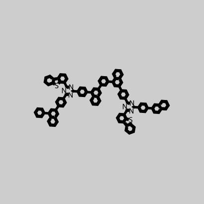 c1ccc(-c2cc(-c3ccc(-c4nc(-c5ccc(-c6cc(-c7cccc(-c8cc(-c9ccc(-c%10nc(-c%11ccc(-c%12ccc%13ccccc%13c%12)cc%11)nc(-c%11cccc%12c%11sc%11ccccc%11%12)n%10)cc9)cc9ccccc89)c7)cc7ccccc67)cc5)nc(-c5cccc6c5sc5ccccc56)n4)cc3)cc3ccccc23)cc1